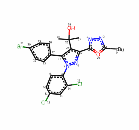 CC(C)(C)c1nnc(-c2nn(-c3ccc(Cl)cc3Cl)c(-c3ccc(Br)cc3)c2C(C)(C)O)o1